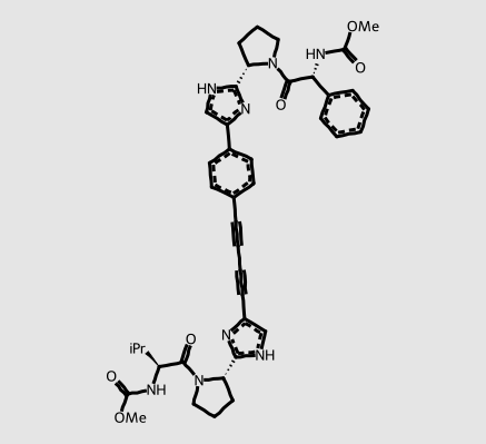 COC(=O)N[C@H](C(=O)N1CCC[C@H]1c1nc(C#CC#Cc2ccc(-c3c[nH]c([C@@H]4CCCN4C(=O)[C@H](NC(=O)OC)c4ccccc4)n3)cc2)c[nH]1)C(C)C